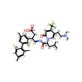 Cc1cc(C)c(-c2cc(C)c(F)c(C(C=NC(=O)C(CC(C)C)n3cc(CCN(C)C)c(C(F)(F)F)cc3=O)CC(=O)O)c2F)c(F)c1